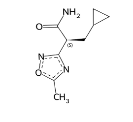 Cc1nc([C@H](CC2CC2)C(N)=O)no1